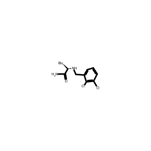 CC[C@H](C)[C@H](NCc1cccc(Cl)c1Cl)C(N)=O